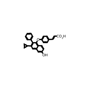 O=C(O)/C=C/c1ccc(Oc2c(-c3ccccc3)c(C3CC3)cc3cc(O)ccc23)cc1